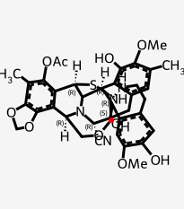 COc1cc2c(cc1O)CCN[C@]21CS[C@@H]2c3c(OC(C)=O)c(C)c4c(c3[C@H](COC1=O)N1C2[C@@H]2N[C@@H](Cc3cc(C)c(OC)c(O)c32)[C@@H]1C#N)OCO4